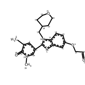 Cc1cc(-c2nc3cc(OCC=O)ccc3n2CC2CCOCC2)cn(C)c1=O